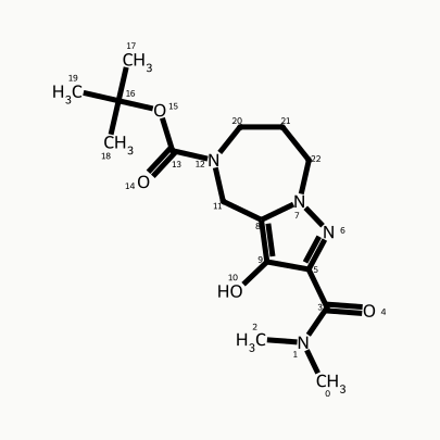 CN(C)C(=O)c1nn2c(c1O)CN(C(=O)OC(C)(C)C)CCC2